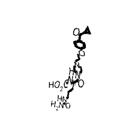 NC(=O)NCCC[C@@H](NC(=O)O)C(=O)N1CCN(CCCOc2ccc(C(=O)C3CC3)cc2)CC1